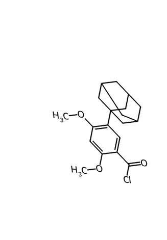 COc1cc(OC)c(C23CC4CC(CC(C4)C2)C3)cc1C(=O)Cl